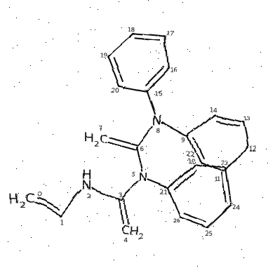 C=CNC(=C)N(C(=C)N(C1=CCCC=C1)c1ccccc1)c1ccccc1